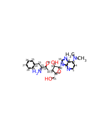 CN(C)c1ccnc2c1ncn2[C@@H]1O[C@H](CO)[C@H](CC(=O)[C@@H](N)Cc2ccccc2)C1O